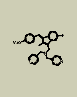 CSc1ccc(C=C2C(C)=C(CN(Cc3ccncc3)Cc3ccncc3)c3cc(F)ccc32)cc1